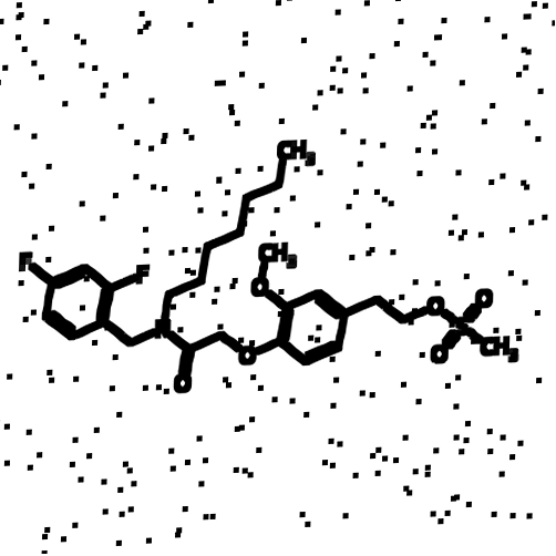 CCCCCCCN(Cc1ccc(F)cc1F)C(=O)COc1ccc(CCOS(C)(=O)=O)cc1OC